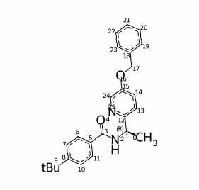 C[C@@H](NC(=O)c1ccc(C(C)(C)C)cc1)c1ccc(OCc2ccccc2)cn1